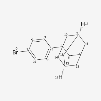 Brc1ccc(C23CC4C[C@H](C2)C[C@@H](C4)C3)cc1